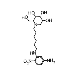 Nc1ccc([N+](=O)[O-])c(NCCCCCCN2C[C@H](O)[C@@H](O)[C@H](O)[C@H]2CO)c1